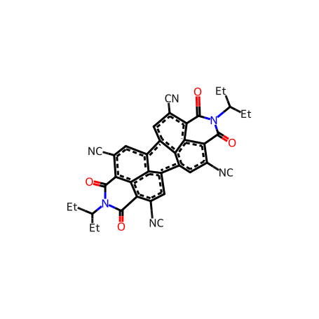 [C-]#[N+]c1cc2c3cc([N+]#[C-])c4c5c(c(C#N)cc(c6cc(C#N)c7c(c1C(=O)N(C(CC)CC)C7=O)c62)c53)C(=O)N(C(CC)CC)C4=O